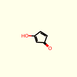 O=C1C=CC(O)=C1